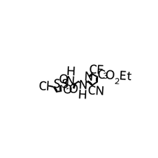 CCOC(=O)c1cc(C#N)c(NCC(=O)NS(=O)(=O)c2ccc(Cl)s2)nc1C(F)(F)F